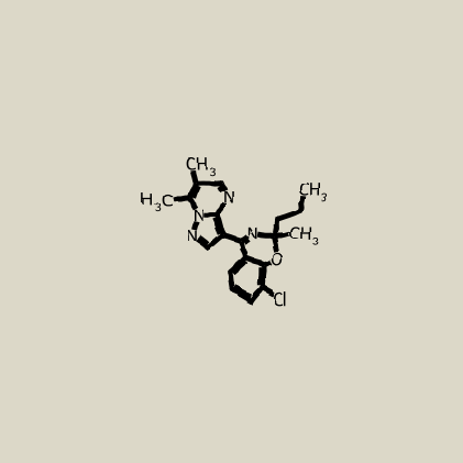 CCCC1(C)N=C(c2cnn3c(C)c(C)cnc23)c2cccc(Cl)c2O1